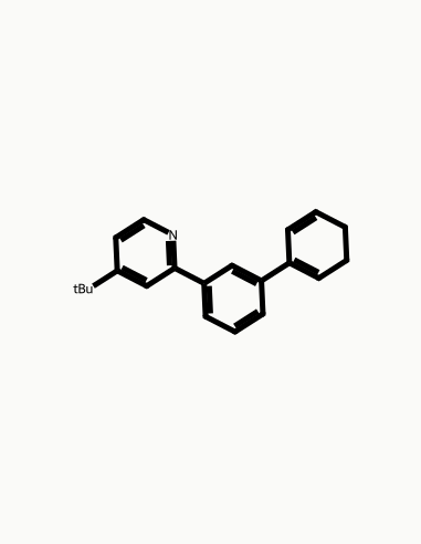 CC(C)(C)c1ccnc(-c2cccc(C3=CCCC=C3)c2)c1